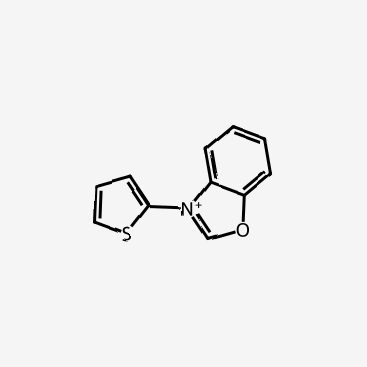 c1csc(-[n+]2coc3ccccc32)c1